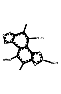 CCCCCCCCn1nc2c(C)c(CCCCCC)c3c4nonc4c(C)c(CCCCCC)c3c2n1